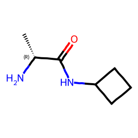 C[C@@H](N)C(=O)NC1CCC1